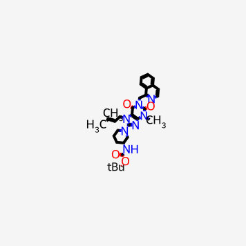 CC(C)=CCn1c(N2CCC[C@@H](NC(=O)OC(C)(C)C)C2)nc2c1c(=O)n(Cc1nccc3ccccc13)c(=O)n2C